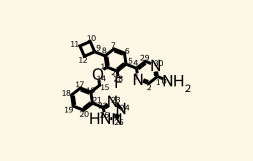 Nc1cnc(-c2ccc(C3CCC3)c(OCc3ccccc3-c3nnn[nH]3)c2F)cn1